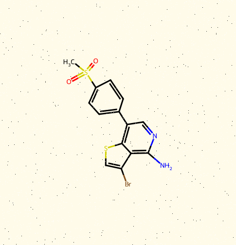 CS(=O)(=O)c1ccc(-c2cnc(N)c3c(Br)csc23)cc1